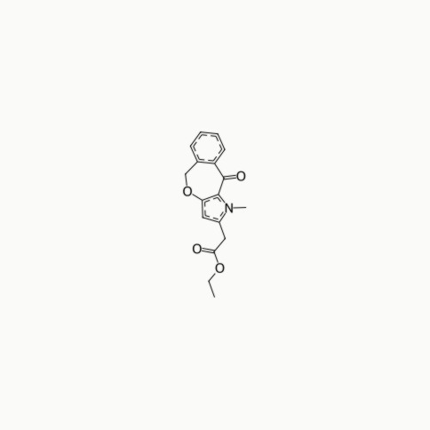 CCOC(=O)Cc1cc2c(n1C)C(=O)c1ccccc1CO2